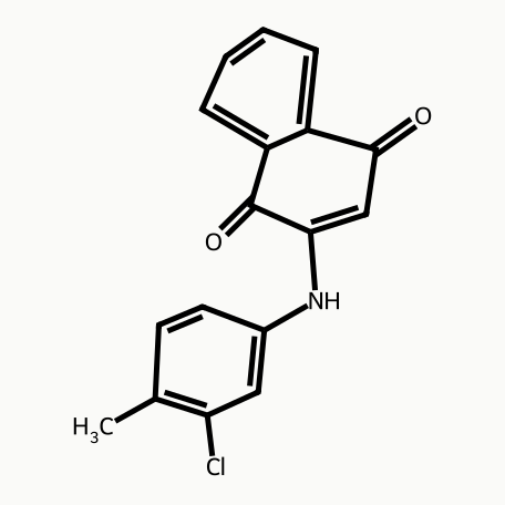 Cc1ccc(NC2=CC(=O)c3ccccc3C2=O)cc1Cl